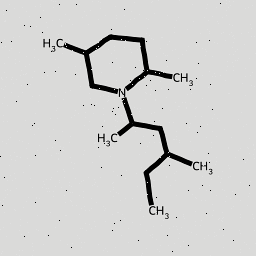 CCC(C)CC(C)N1CC(C)CCC1C